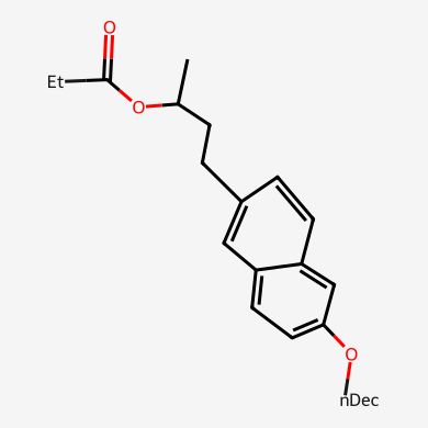 CCCCCCCCCCOc1ccc2cc(CCC(C)OC(=O)CC)ccc2c1